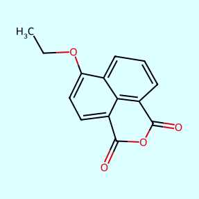 CCOc1ccc2c3c(cccc13)C(=O)OC2=O